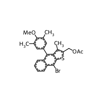 COc1c(C)cc(-c2c3ccccc3c(Br)c3sc(COC(C)=O)c(C)c23)cc1C